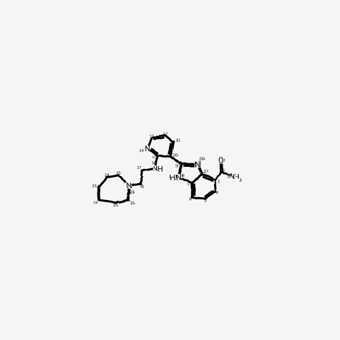 NC(=O)c1cccc2[nH]c(-c3cccnc3NCCN3CCCCCC3)nc12